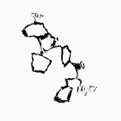 CCOC(=O)CN(Cc1ccccc1)C(=O)c1ccc(-c2nc3cc(C(=O)O)ccc3n2C2CCCCC2)cc1